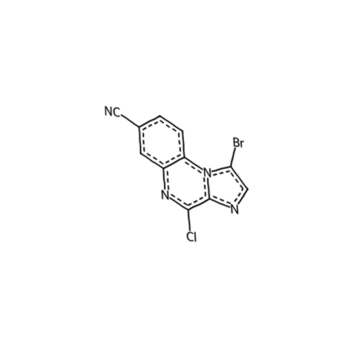 N#Cc1ccc2c(c1)nc(Cl)c1ncc(Br)n12